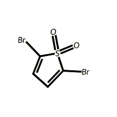 O=S1(=O)C(Br)=CC=C1Br